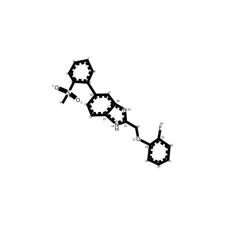 CS(=O)(=O)c1ccccc1-c1ccc2[nH]c(COc3ccccc3F)nc2c1